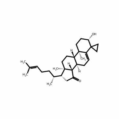 CC(C)=CCC[C@@H](C)[C@H]1CC(=O)[C@H]2[C@@H]3CC=C4C5(CC5)[C@@H](O)CC[C@]4(C)[C@H]3CC[C@]12C